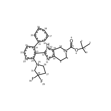 CC(C)(C)OC(=O)N1CCc2nc(-c3c(-c4ccccc4)ccnc3N3CCC(F)(F)C3)[nH]c2C1